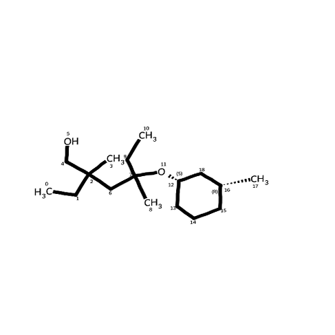 CCC(C)(CO)CC(C)(CC)O[C@H]1CCC[C@@H](C)C1